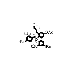 CC=CCc1cc(OC(C)=O)ccc1P(Oc1ccc(C(C)(C)C)cc1C(C)(C)C)Oc1ccc(C(C)(C)C)cc1C(C)(C)C